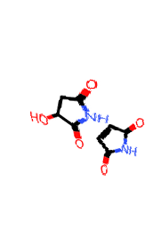 O=C1C=CC(=O)N1.O=C1CC(O)C(=O)N1